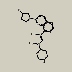 N/C(=C\N(N)C1CCNCC1)c1ncnc2ccc(N3CCC(F)C3)nc12